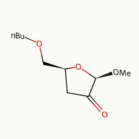 CCCCOC[C@@H]1CC(=O)[C@H](OC)O1